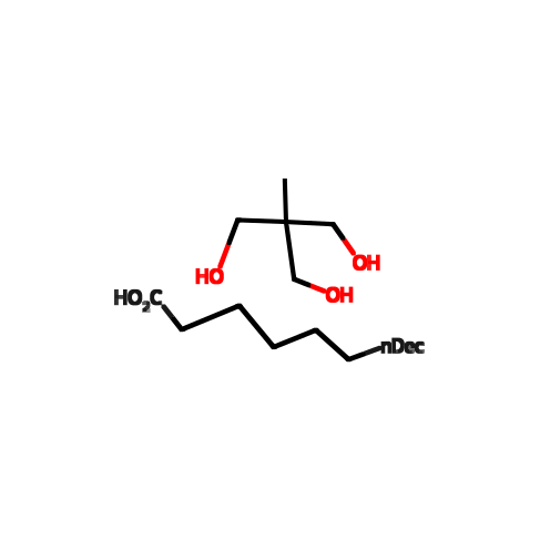 CC(CO)(CO)CO.CCCCCCCCCCCCCCCC(=O)O